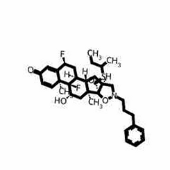 CCC(C)SC(=O)[C@@]12ON(CCCc3ccccc3)C[C@@H]1C[C@H]1[C@@H]3C[C@H](F)C4=CC(=O)C=C[C@]4(C)[C@@]3(F)[C@@H](O)C[C@@]12C